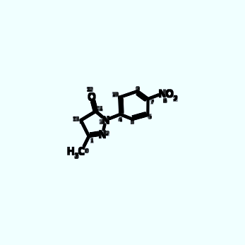 CC1=NN(c2ccc([N+](=O)[O-])cc2)C(=O)[CH]1